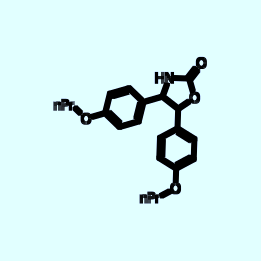 CCCOc1ccc(C2NC(=O)OC2c2ccc(OCCC)cc2)cc1